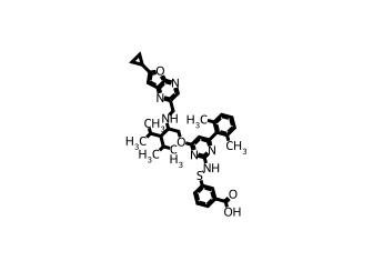 Cc1cccc(C)c1-c1cc(OCC(NCc2cnc3oc(C4CC4)cc3n2)C(C(C)C)C(C)C)nc(NSc2cccc(C(=O)O)c2)n1